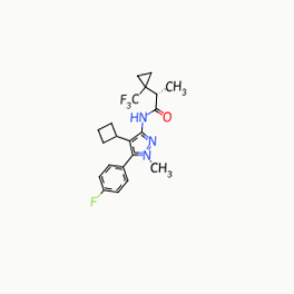 C[C@H](C(=O)Nc1nn(C)c(-c2ccc(F)cc2)c1C1CCC1)C1(C(F)(F)F)CC1